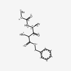 CCCCC(C(=O)OCc1ccccc1)C(=O)[C@@H](NC(=O)OC(C)(C)C)C(C)C